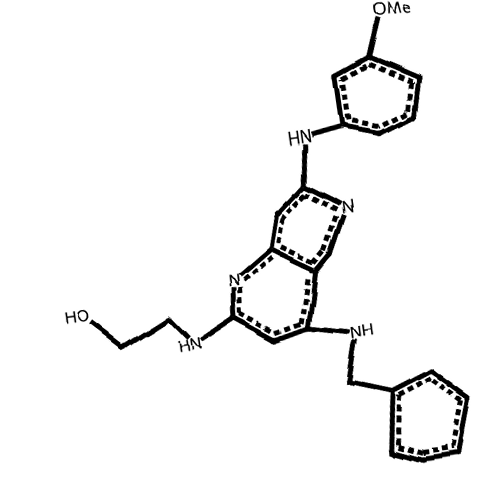 COc1cccc(Nc2cc3nc(NCCO)cc(NCc4ccccc4)c3cn2)c1